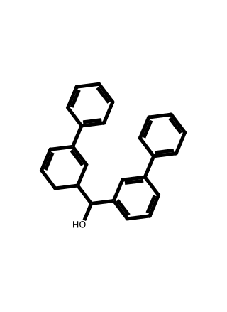 OC(c1cccc(-c2ccccc2)c1)C1C=C(c2ccccc2)C=CC1